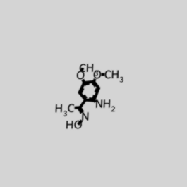 COc1cc(N)c(C(C)=NO)cc1OC